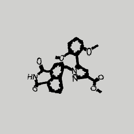 COC(=O)c1cc(-c2c(OC)cccc2OC)n(-c2ccc3c4c(cccc24)C(=O)NC3=O)n1